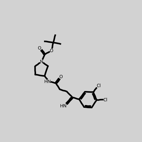 CC(C)(C)OC(=O)N1CCC(NC(=O)CCC(=N)c2ccc(Cl)c(Cl)c2)C1